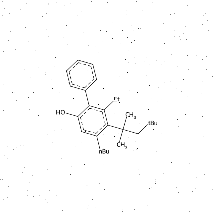 CCCCc1cc(O)c(-c2ccccc2)c(CC)c1C(C)(C)CC(C)(C)C